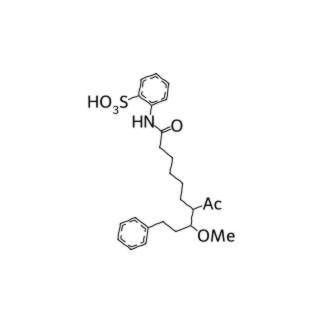 COC(CCc1ccccc1)C(CCCCCC(=O)Nc1ccccc1S(=O)(=O)O)C(C)=O